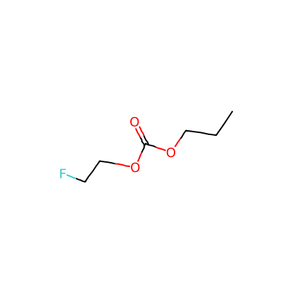 CCCOC(=O)OCCF